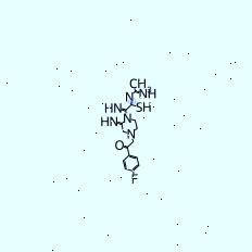 CC(=N)/N=C(\S)C(=N)N1CCN(CC(=O)c2ccc(F)cc2)CC1=N